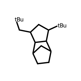 CC(C)(C)CC1CC(C(C)(C)C)C2C3CCC(C3)C12